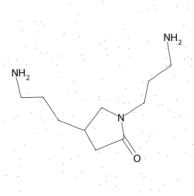 NCCCC1CC(=O)N(CCCN)C1